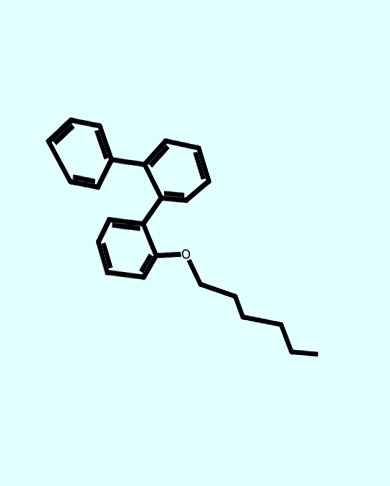 CCCCCCOc1ccccc1-c1ccccc1-c1ccccc1